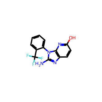 Nc1nc2ccc(O)nc2n1-c1ccccc1C(F)(F)F